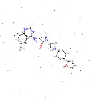 O=C(CNc1ncnc2ccc(C(F)(F)F)cc12)NC1CN([C@H]2CC[C@@H](C3C=CCO3)CC2)C1